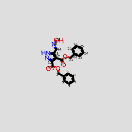 O=C(OCc1ccccc1)c1n[nH]c(/C=N/O)c1C(=O)OCc1ccccc1